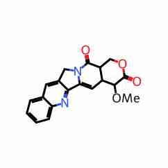 COC1C(=O)OCC2C(=O)N3Cc4cc5ccccc5nc4C3=CC21